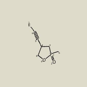 CP1(=O)CC(C#CF)CO1